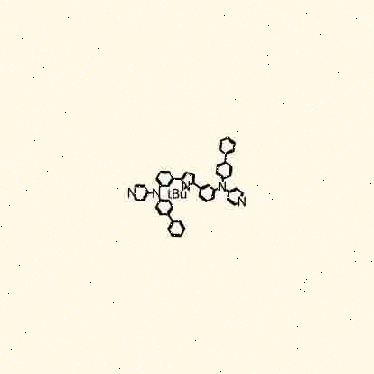 CC(C)(C)n1c(-c2cccc(N(c3ccncc3)c3ccc(-c4ccccc4)cc3)c2)ccc1-c1cccc(N(c2ccncc2)c2ccc(-c3ccccc3)cc2)c1